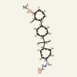 Cc1c(OC#N)cccc1-c1ccc(C(C)(C)c2ccc(N=C=O)cc2)cc1